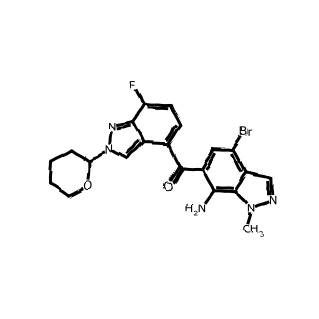 Cn1ncc2c(Br)cc(C(=O)c3ccc(F)c4nn(C5CCCCO5)cc34)c(N)c21